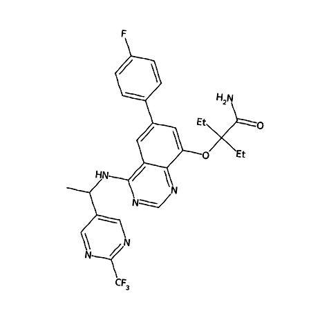 CCC(CC)(Oc1cc(-c2ccc(F)cc2)cc2c(NC(C)c3cnc(C(F)(F)F)nc3)ncnc12)C(N)=O